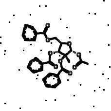 CC(=O)O[C@H]1O[C@H](COC(=O)c2ccccc2)[C@@H](OC(=O)c2ccccc2)[C@@]1(C)OC(=O)c1ccccc1